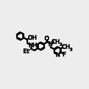 CC[C@@H](Cc1ccc(C(=O)N(C)Cc2cnc(F)c(C)c2)cc1)NC[C@H](O)c1ccccc1